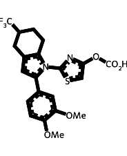 COc1ccc(-c2cc3c(n2-c2nc(OC(=O)O)cs2)CCC(C(F)(F)F)C3)cc1OC